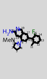 CN[C@H]1CCCN1c1cc(-c2c(C)cccc2F)cc2cnc(N)cc12